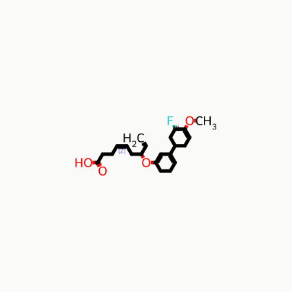 C=CC(C/C=C\CCC(=O)O)OC1=CC(C2CC=C(OC)[C@H](F)C2)=CCC1